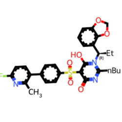 CCCCc1nc(=O)c(S(=O)(=O)c2ccc(-c3ccc(F)nc3C)cc2)c(O)n1[C@H](CC)c1cccc2c1OCO2